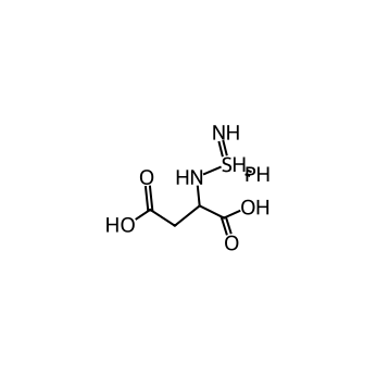 N=[SH](=P)NC(CC(=O)O)C(=O)O